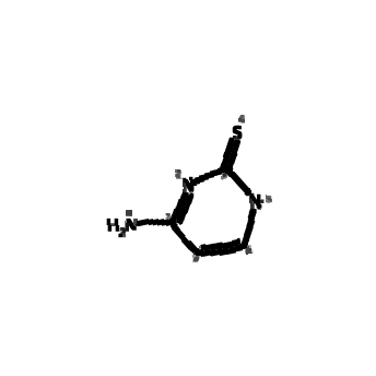 NC1=NC(=S)[N]C=C1